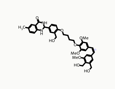 COc1cc(/C=C\c2cc(OC)c(OCCCCOc3ccc(C4NC(=O)c5cc(C)ccc5N4)cc3CO)c(OC)c2)cc(CO)c1CO